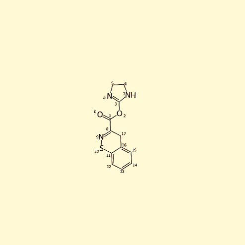 O=C(OC1=NCCN1)C1=NSc2ccccc2C1